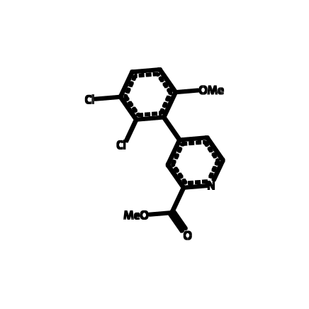 COC(=O)c1cc(-c2c(OC)ccc(Cl)c2Cl)ccn1